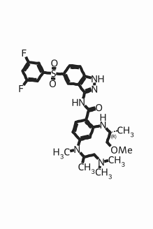 COC[C@@H](C)Nc1cc(N(C)C(C)CN(C)C)ccc1C(=O)Nc1n[nH]c2ccc(S(=O)(=O)c3cc(F)cc(F)c3)cc12